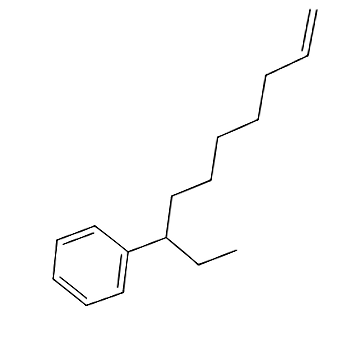 C=CCCCCCC(CC)c1ccccc1